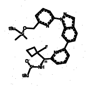 CC(C)(C)[S+]([O-])N[C@H](c1cccc(-c2ccc3cnn(-c4cccc(CO[Si](C)(C)C(C)(C)C)n4)c3c2)n1)C1(F)CCC1